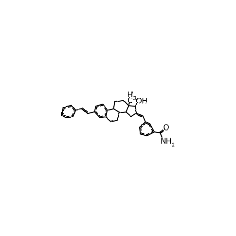 C[C@]12CCC3c4ccc(/C=C/c5ccccc5)cc4CCC3C1C/C(=C\c1cccc(C(N)=O)c1)[C@@H]2O